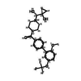 COc1ccc(OC(F)(F)F)cc1-c1ccc(C(=O)N2CCN(C(O)C3(O)CC3)CC2)cc1